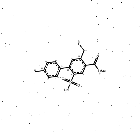 COC(=O)c1cc(S(N)(=O)=O)c(-c2ccc(C)cc2)cc1CF